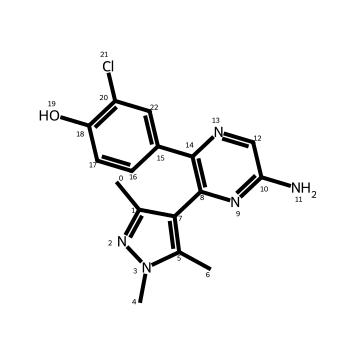 Cc1nn(C)c(C)c1-c1nc(N)cnc1-c1ccc(O)c(Cl)c1